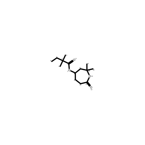 CCC(C)(C)C(=O)OC1CCC(=O)OC(C)(C)C1